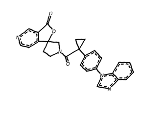 O=C1OC2(CCN(C(=O)C3(c4ccc(-n5cnc6ccccc65)cc4)CC3)C2)c2ccncc21